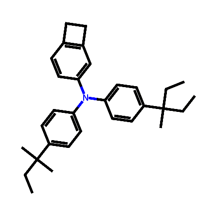 CCC(C)(C)c1ccc(N(c2ccc(C(C)(CC)CC)cc2)c2ccc3c(c2)CC3)cc1